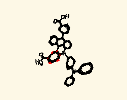 O=C(O)c1cccc(-c2c3ccccc3c(-c3cccc(C(=O)O)c3)c3c(N(c4ccccc4)c4ccc(N(c5ccccc5)c5ccccc5)cc4)cccc23)c1